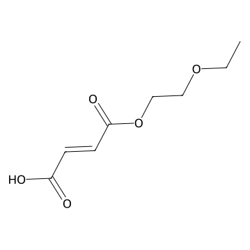 CCOCCOC(=O)C=CC(=O)O